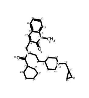 Cn1c(=O)c(CN(CCC2CCN(CC3CC3)CC2)C(=O)C2CCCCC2)cc2ccccc21